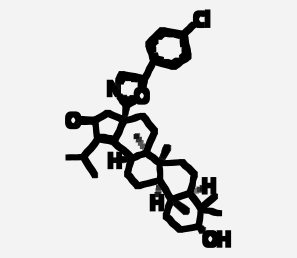 CC(C)C1=C2[C@H]3CC[C@@H]4[C@@]5(C)CC[C@H](O)C(C)(C)[C@@H]5CC[C@@]4(C)[C@]3(C)CC[C@@]2(c2ncc(-c3ccc(Cl)cc3)o2)CC1=O